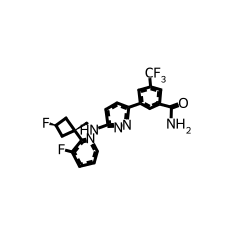 NC(=O)c1cc(-c2ccc(NC[C@]3(c4ncccc4F)C[C@H](F)C3)nn2)cc(C(F)(F)F)c1